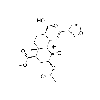 COC(=O)[C@@H]1C[C@H](OC(C)=O)C(=O)[C@@H]2[C@@H](/C=C/c3ccoc3)[C@H](C(=O)O)CC[C@]21C